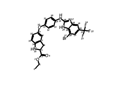 CCOC(=O)C1Cc2cc(Oc3ccc(Nc4nc5cc(C(F)(F)F)cc(Br)c5[nH]4)cc3)ccc2N1